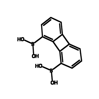 OB(O)c1cccc2c1-c1c(B(O)O)cccc1-2